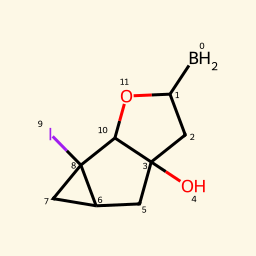 BC1CC2(O)CC3CC3(I)C2O1